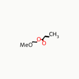 CC=CC(=O)OCCOC